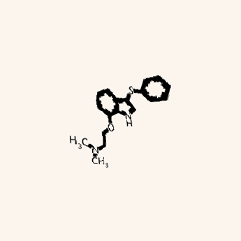 CN(C)CCOc1cccc2c(Sc3ccccc3)c[nH]c12